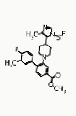 COC(=O)c1ccc(-c2ccc(F)c(C)c2)c(N2CCC(c3c(C)ncn3SF)CC2)c1